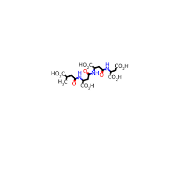 CC(CC(=O)NC(CC(=O)NC(CC(=O)NC(CC(=O)O)C(=O)O)C(=O)O)C(=O)O)C(=O)O